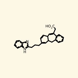 O=C(O)CC1=CC2C=CC(CCCc3nc4ccccc4[nH]3)=CC2Cc2ccccc21